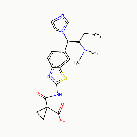 CCC([C@@H](c1ccc2nc(NC(=O)C3(C(=O)O)CC3)sc2c1)n1ccnc1)N(C)C